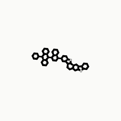 c1ccc(-c2c3ccccc3c(-c3ccc(-c4ccc5oc6c7cc8c(cc7ccc6c5c4)oc4ccccc48)c4ccccc34)c3ccccc23)cc1